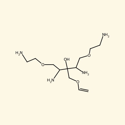 C=COCC(O)(C(N)COCCN)C(N)COCCN